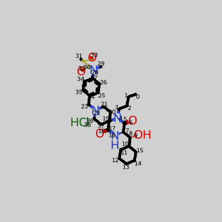 CCCCN1C(=O)[C@@H]([C@H](O)C2CCCCC2)NC(=O)C12CCN(Cc1ccc(N(C)S(C)(=O)=O)cc1)CC2.Cl